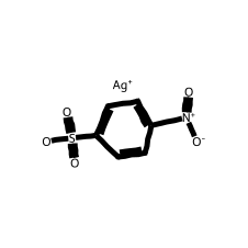 O=[N+]([O-])c1ccc(S(=O)(=O)[O-])cc1.[Ag+]